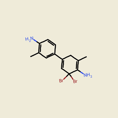 CC1=C(N)C(Br)(Br)C=C(c2ccc(N)c(C)c2)C1